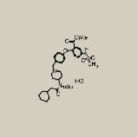 CCCCN(C(=O)CC1CCCCC1)C1CCN(Cc2ccc(Oc3ccc(NS(C)(=O)=O)cc3C(=O)OC)cc2)CC1.Cl